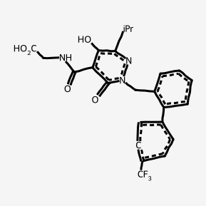 CC(C)c1nn(Cc2ccccc2-c2ccc(C(F)(F)F)cc2)c(=O)c(C(=O)NCC(=O)O)c1O